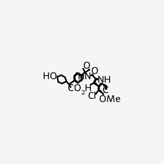 COc1ccc2[nH]c(C(=O)NC3(c4ccc(C(C(=O)O)C5CCC(O)CC5)cc4)COC3)c(C)c2c1Cl